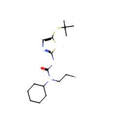 CC(C)CCN(C(=O)Nc1ncc(SC(C)(C)C(=O)O)s1)C1CCCCC1